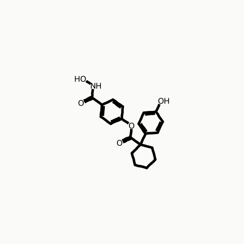 O=C(NO)c1ccc(OC(=O)C2(c3ccc(O)cc3)CCCCC2)cc1